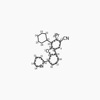 CC(C)c1c(C#N)cc2c(oc3c(-c4ccccn4)cccc32)c1C1CCCCC1